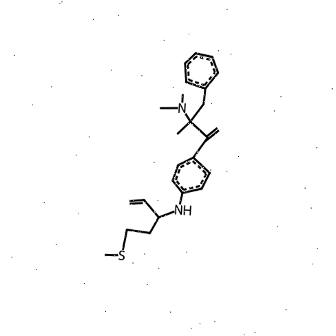 C=CC(CCSC)Nc1ccc(C(=C)C(C)(Cc2ccccc2)N(C)C)cc1